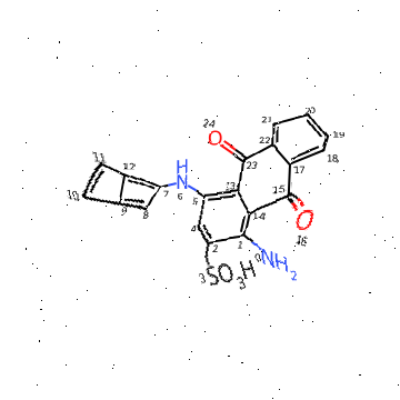 Nc1c(S(=O)(=O)O)cc(Nc2cc3ccc2-3)c2c1C(=O)c1ccccc1C2=O